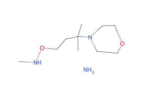 CNOCCC(C)(C)N1CCOCC1.N